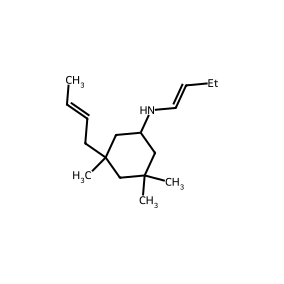 CC=CCC1(C)CC(NC=CCC)CC(C)(C)C1